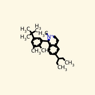 CCC(CC)c1ccc2c(-c3cc(C(C)(C)C)cc(C)c3C)[n+](C)ccc2c1